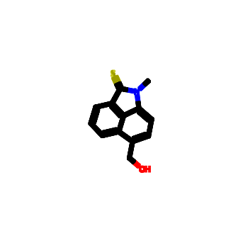 CN1C(=S)c2cccc3c(CO)ccc1c23